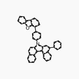 c1ccc(-c2cc3c(c4ccccc24)c2c4ccccc4ccc2n3-c2ccc(-c3cccc4c3oc3ccccc34)cc2)cc1